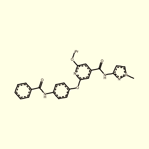 CC(C)Oc1cc(C(=O)Nc2ccn(C)n2)cc(Oc2ccc(NC(=O)c3ccccc3)cc2)n1